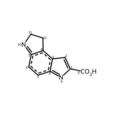 O=C(O)C1=Cc2c3c(ccc2=N1)=NCC3